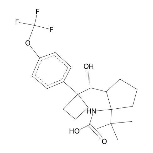 CC(C)(C)C1(NC(=O)O)CCCC1[C@@H](O)C1(c2ccc(OC(F)(F)F)cc2)CCC1